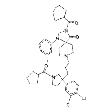 Cc1cccc(N2CN(C(=O)C3CCCC3)C(=O)C23CCN(CCCC2(c4ccc(Cl)c(Cl)c4)CCN(C(=O)C4CCCC4)C2)CC3)c1